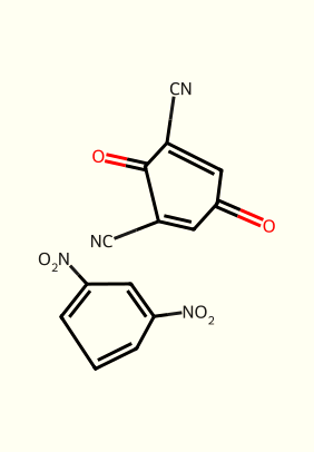 N#CC1=CC(=O)C=C(C#N)C1=O.O=[N+]([O-])c1cccc([N+](=O)[O-])c1